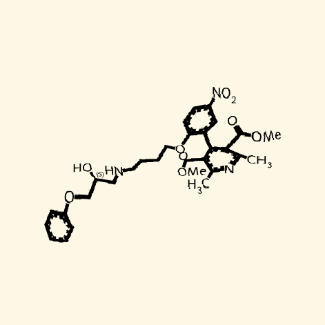 COC(=O)c1c(C)nc(C)c(C(=O)OC)c1-c1cc([N+](=O)[O-])ccc1OCCCCNC[C@H](O)COc1ccccc1